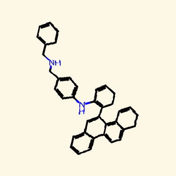 C1=CCCC(CNCc2ccc(NC3=C(c4cc5ccccc5c5ccc6c(c45)C=CCC6)CCC=C3)cc2)=C1